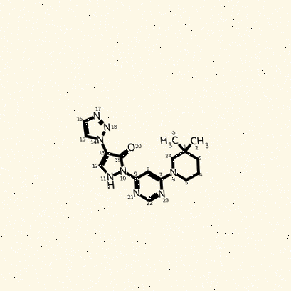 CC1(C)CCCN(c2cc(-n3[nH]cc(-n4ccnn4)c3=O)ncn2)C1